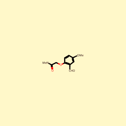 CNC(=O)COc1ccc(OC)cc1C=O